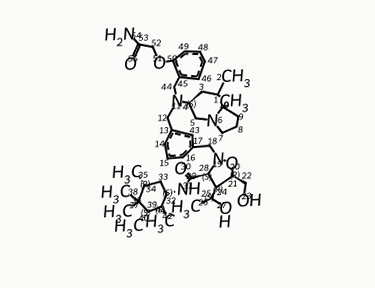 CC(C)C[C@@H](CN1CCCC1)N(Cc1cccc(CN2O[C@@H](CO)[C@@H]([C@H](C)O)[C@H]2C(=O)N[C@H]2C[C@@H](C)C(C)(C)[C@@H](C)[C@@H]2C)c1)Cc1ccccc1OCC(N)=O